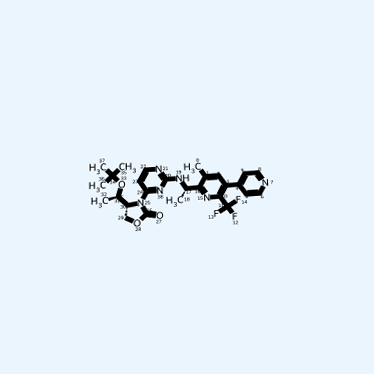 Cc1cc(-c2ccncc2)c(C(F)(F)F)nc1[C@H](C)Nc1nccc(N2C(=O)OC[C@@H]2[C@@H](C)OC(C)(C)C)n1